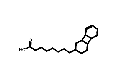 O=C(O)CCCCCCCC1CCC2C3CCC=CC3C2C1